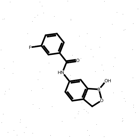 O=C(Nc1ccc2c(c1)B(O)OC2)c1cccc(F)c1